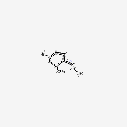 Cn1cc(Br)cc/c1=N/NC=O